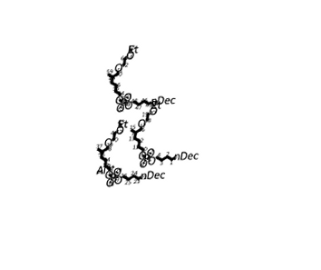 CCCCCCCCCCCCCCOP(=O)([O-])OCCCCC(C)COCCOCC.CCCCCCCCCCCCCCOP(=O)([O-])OCCCCC(C)COCCOCC.CCCCCCCCCCCCCCOP(=O)([O-])OCCCCC(C)COCCOCC.[Al+3]